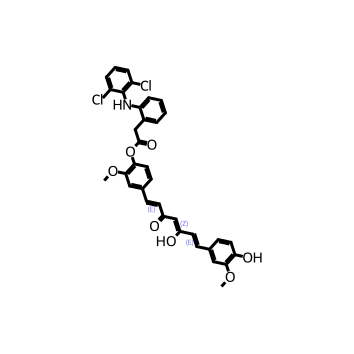 COc1cc(/C=C/C(O)=C/C(=O)/C=C/c2ccc(OC(=O)Cc3ccccc3Nc3c(Cl)cccc3Cl)c(OC)c2)ccc1O